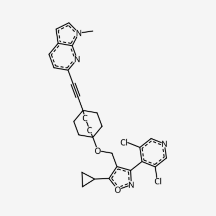 Cn1ccc2ccc(C#CC34CCC(OCc5c(-c6c(Cl)cncc6Cl)noc5C5CC5)(CC3)CC4)nc21